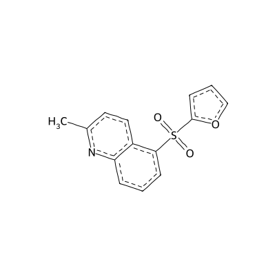 Cc1ccc2c(S(=O)(=O)c3ccco3)cccc2n1